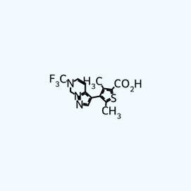 Cc1sc(C(=O)O)c(C)c1-c1cnn2c1C=CN(C(F)(F)F)C2